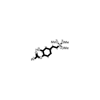 CO[Si](CCC1CCC(OC(=O)C(C)C)C(O)C1)(OC)OC